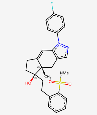 CNS(=O)(=O)c1ccccc1CC[C@]1(O)CCC2=Cc3c(cnn3-c3ccc(F)cc3)C[C@@]21C